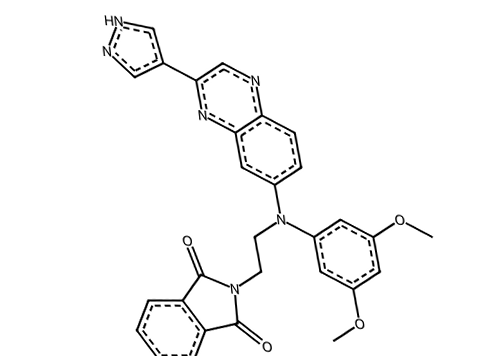 COc1cc(OC)cc(N(CCN2C(=O)c3ccccc3C2=O)c2ccc3ncc(-c4cn[nH]c4)nc3c2)c1